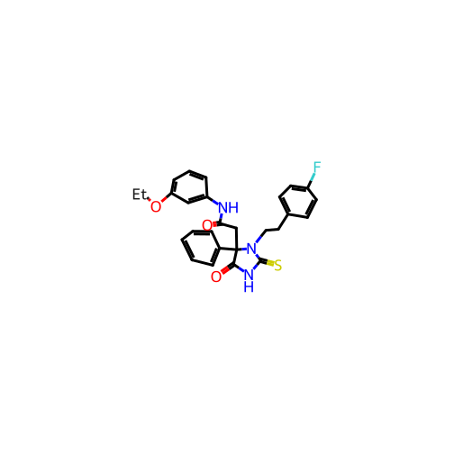 CCOc1cccc(NC(=O)CC2(c3ccccc3)C(=O)NC(=S)N2CCc2ccc(F)cc2)c1